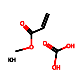 C=CC(=O)OC.O=C(O)O.[KH]